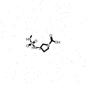 CNS(=O)(=O)N[C@@H]1CCN(C(=O)O)C1